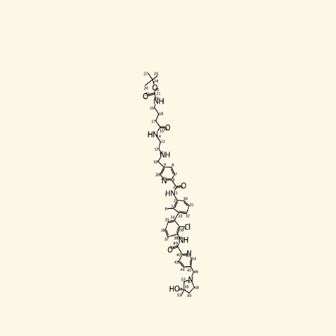 Cc1c(NC(=O)c2ccc(CNCCNC(=O)CCCNC(=O)OC(C)(C)C)cn2)cccc1-c1cccc(NC(=O)c2ccc(CN3CCC(C)(O)C3)cn2)c1Cl